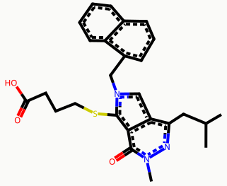 CC(C)Cc1nn(C)c(=O)c2c(SCCCC(=O)O)n(Cc3cccc4ccccc34)cc12